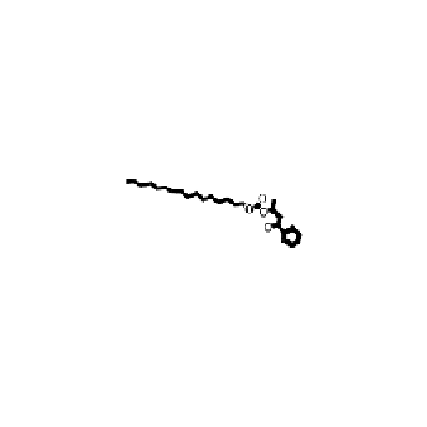 CCCCCCCCCCCCCCCCOC(=O)OC(C)=CC(=O)c1ccccc1